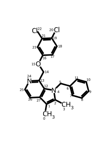 Cc1c(C)n(Cc2ccccc2)c2c(COc3ccc(Cl)c(Cl)c3)nccc12